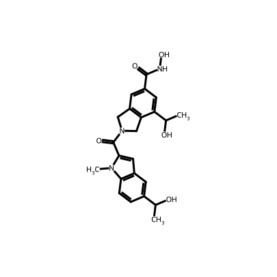 CC(O)c1ccc2c(c1)cc(C(=O)N1Cc3cc(C(=O)NO)cc(C(C)O)c3C1)n2C